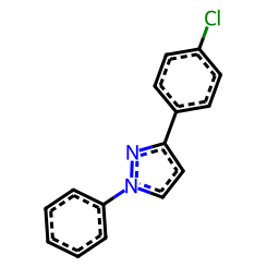 Clc1ccc(-c2ccn(-c3ccccc3)n2)cc1